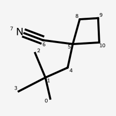 CC(C)(C)CC1(C#N)CCC1